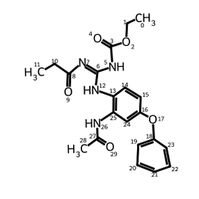 CCOC(=O)N/C(=N/C(=O)CC)Nc1ccc(Oc2ccccc2)cc1NC(C)=O